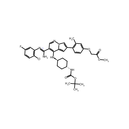 COC(=O)COc1ccc(-c2cc3c(N[C@H]4CC[C@H](NC(=O)OC(C)(C)C)CC4)c(/C(N)=N/c4cc(F)ccc4Cl)cnn3c2)c(C)c1